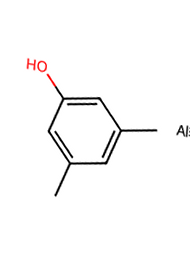 Cc1cc(C)cc(O)c1.[Al]